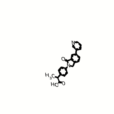 CC(C(=O)O)c1ccc(N2Cc3ccc(-c4cccnc4)cc3C2=O)cc1